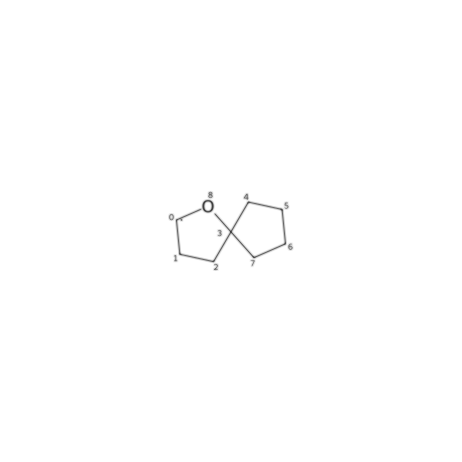 [CH]1CCC2(CCCC2)O1